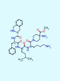 COC(=O)C1(N)CCN(C(=O)[C@@H](CCCCN)NC(=O)[C@@H](CCC(C)C)NC(=O)[C@@H](Cc2ccccc2)NC(=O)[C@H]2Cc3ccccc3CN2)CC1